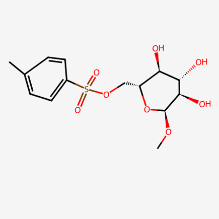 CO[C@H]1O[C@H](COS(=O)(=O)c2ccc(C)cc2)[C@@H](O)[C@H](O)[C@H]1O